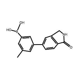 Cc1cc(B(O)O)cc(-c2ccc3c(c2)CNC3=O)c1